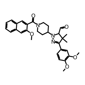 COc1ccc(C2=NN(C3CCN(C(=O)c4cc5ccccc5cc4OC)CC3)C(C=O)C2(C)C)cc1OC